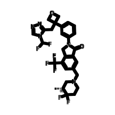 C[C@@H]1CN(Cc2cc3c(c(C(F)(F)F)c2)CN(c2cccc(C4(Cc5nncn5C(F)F)COC4)c2)C3=O)CCC1(F)F